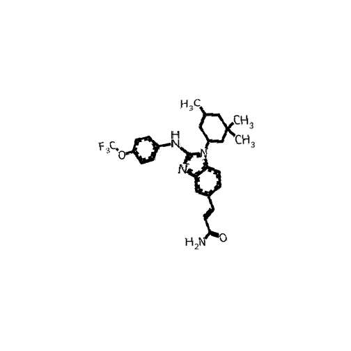 CC1CC(n2c(Nc3ccc(OC(F)(F)F)cc3)nc3cc(C=CC(N)=O)ccc32)CC(C)(C)C1